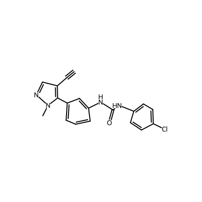 C#Cc1cnn(C)c1-c1cccc(NC(=O)Nc2ccc(Cl)cc2)c1